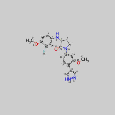 COc1ccc(NC2CCN(c3ccc(-c4cn[nH]c4)c(OC)c3)C2=O)cc1F